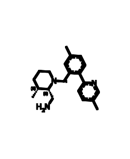 Cc1ccc(-c2ccc(C)cc2[C]N2CCC[C@@H](C)[C@H]2CN)nc1